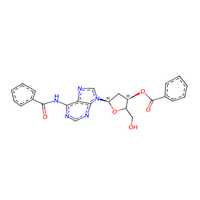 O=C(Nc1ncnc2c1ncn2[C@H]1C[C@@H](OC(=O)c2ccccc2)C(CO)O1)c1ccccc1